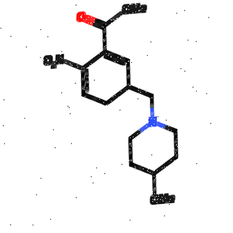 COC(=O)C1=CC(CN2CCC(OC)CC2)CC=C1[N+](=O)[O-]